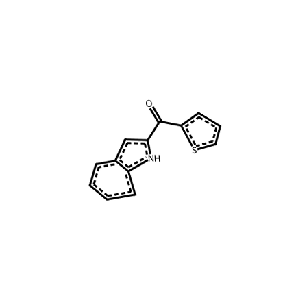 O=C(c1cc2ccccc2[nH]1)c1cccs1